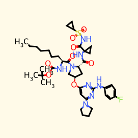 CCCCCCC[C@H](NC(=O)OC(C)(C)C)C(=O)N1C[C@H](Oc2cc(N3CCCC3)nc(Nc3ccc(F)cc3)n2)C[C@H]1C(=O)NC1(C(=O)NS(=O)(=O)C2CC2)CC1